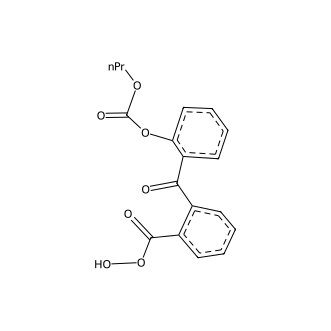 CCCOC(=O)Oc1ccccc1C(=O)c1ccccc1C(=O)OO